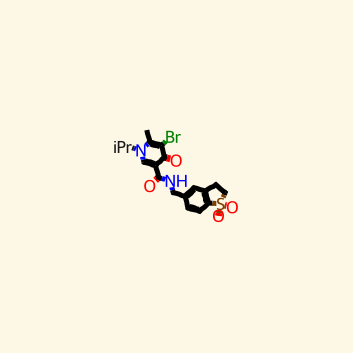 Cc1c(Br)c(=O)c(C(=O)NCc2ccc3c(c2)CCS3(=O)=O)cn1C(C)C